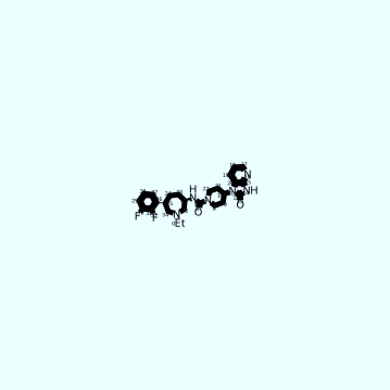 CCN1C[C@H](NC(=O)N2CCC(n3c(=O)[nH]c4ncccc43)CC2)CC[C@@H](c2cccc(F)c2F)C1